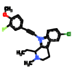 CCC1c2c(c3cc(Cl)ccc3n2C#Cc2ccc(OC)c(F)c2)CCN1C